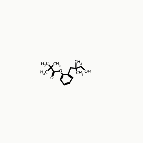 CC(C)(CO)Cc1ccccc1OC(=O)C(C)(C)C